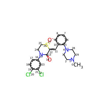 CN1CCN(c2ccccc2/C=C2/C(=O)N(c3ccc(Cl)c(Cl)c3)CC[S+]2[O-])CC1